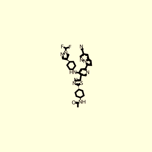 CC(=O)N[C@H]1CC[C@H](c2nnc(-c3cnc(-c4ccc5cc(C#N)cnn45)cc3N[C@H]3CC[C@H](c4cnn(C(F)F)c4)CC3)s2)CC1